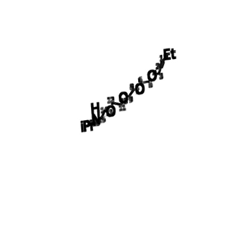 CCC#CCOCCOCCOCCOCCNC(C)C